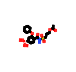 CC(=O)OCCCS(=O)(=O)NC(=O)c1ccc(B(O)O)cc1OC1CCCCC1